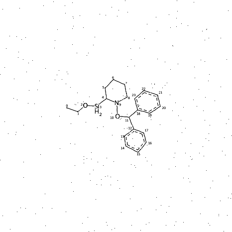 CCO[SiH2]C1CCCCN1OC(c1ccccc1)c1ccccc1